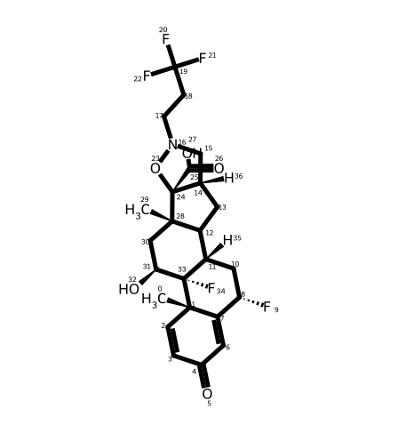 C[C@]12C=CC(=O)C=C1[C@@H](F)C[C@H]1C3C[C@H]4CN(CCC(F)(F)F)O[C@@]4(C(=O)O)[C@@]3(C)C[C@H](O)[C@@]12F